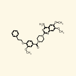 COc1cc2nc(N3CCN(C(=O)c4ccc(OCCc5ccccc5)c(OC)c4)CC3)nc(N)c2cc1OC